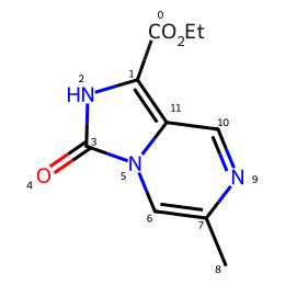 CCOC(=O)c1[nH]c(=O)n2cc(C)ncc12